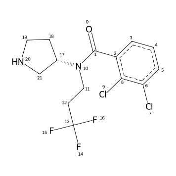 O=C(c1cccc(Cl)c1Cl)N(CCC(F)(F)F)[C@H]1CCNC1